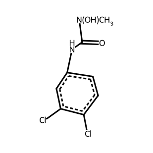 CN(O)C(=O)Nc1ccc(Cl)c(Cl)c1